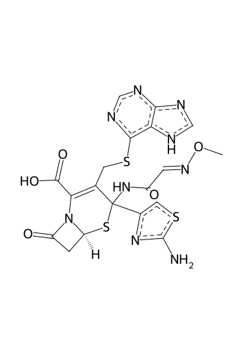 CON=CC(=O)NC1(c2csc(N)n2)S[C@H]2CC(=O)N2C(C(=O)O)=C1CSc1ncnc2nc[nH]c12